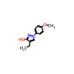 CCc1cn(-c2ccc(OC)cc2)nc1O